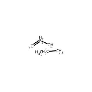 C.CC.O=[PH2]O